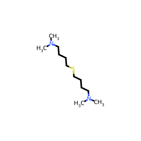 CN(C)CCCCSCCCCN(C)C